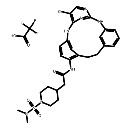 CN(C)S(=O)(=O)N1CCC(CC(=O)Nc2ccc3cc2CCc2cccc(c2)Nc2ncc(Cl)c(n2)N3)CC1.O=C(O)C(F)(F)F